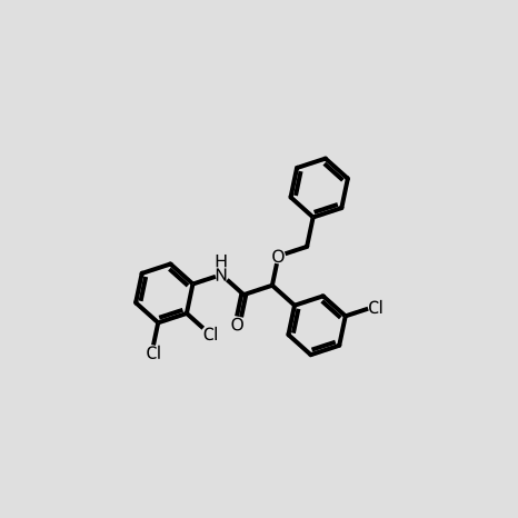 O=C(Nc1cccc(Cl)c1Cl)C(OCc1ccccc1)c1cccc(Cl)c1